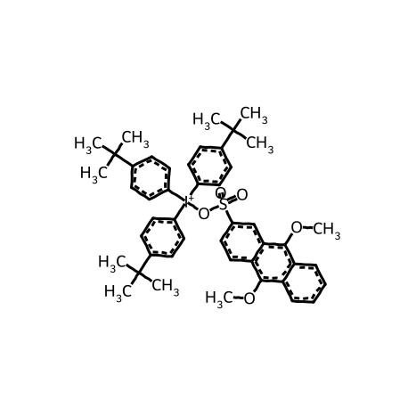 COc1c2ccccc2c(OC)c2cc(S(=O)(=O)O[I+](c3ccc(C(C)(C)C)cc3)(c3ccc(C(C)(C)C)cc3)c3ccc(C(C)(C)C)cc3)ccc12